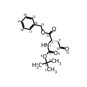 CC(C)(C)OC(=O)N[C@@H](CC=O)C(=O)OCc1ccccc1